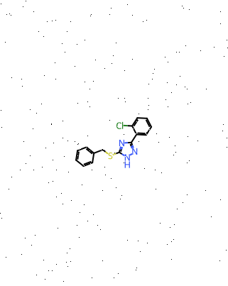 Clc1ccccc1-c1n[nH]c(SCc2ccccc2)n1